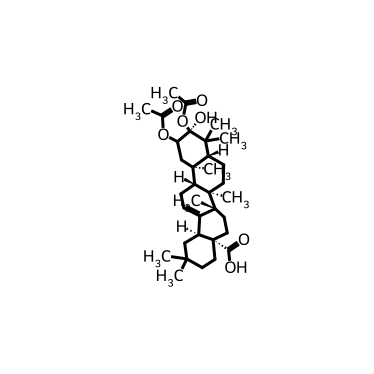 CC(=O)OC1C[C@]2(C)[C@H]3CC=C4[C@@H]5CC(C)(C)CC[C@]5(C(=O)O)CC[C@@]4(C)[C@]3(C)CC[C@H]2C(C)(C)[C@]1(O)OC(C)=O